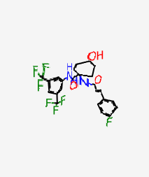 O=C(C=Cc1ccc(F)cc1)NC1(C(=O)Nc2cc(C(F)(F)F)cc(C(F)(F)F)c2)CCC(O)CC1